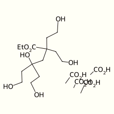 CC(=O)O.CC(=O)O.CC(=O)O.CC(=O)O.CCOC(=O)C(CCO)(CCO)CC(O)(CCO)CCO